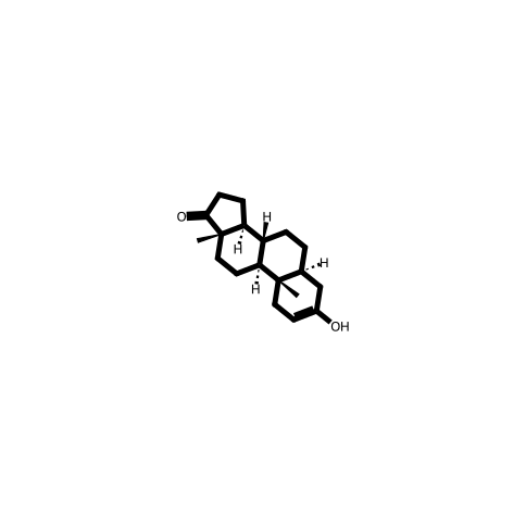 C[C@]12CC=C(O)C[C@@H]1CC[C@@H]1[C@@H]2CC[C@]2(C)C(=O)CC[C@@H]12